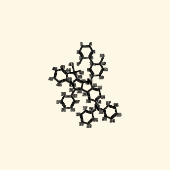 Cc1ccccc1-c1cc(-n2c3ccc(N(c4ccccc4)c4ccccc4)cc3c3c(-c4ccccc4)n4c(c32)C(C)(C)c2ccccc2-4)ccc1C